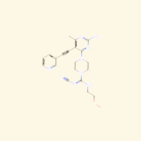 COCCN/C(=N/C#N)N1CCN(c2nc(N)nc(C)c2C#Cc2cccnc2)CC1